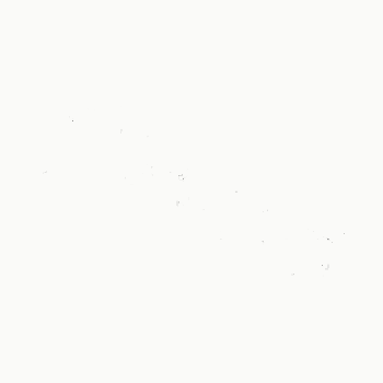 COc1cc(NC(=O)N(N)Cc2cccc(F)c2)ccc1-c1cn[nH]c1